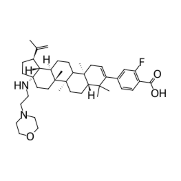 C=C(C)[C@@H]1CC[C@]2(NCCN3CCOCC3)CC[C@]3(C)[C@H](CCC4[C@@]5(C)CC=C(c6ccc(C(=O)O)c(F)c6)C(C)(C)[C@@H]5CC[C@]43C)[C@@H]12